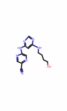 N#Cc1cnc(Nc2cc(NCCCCO)ncn2)cn1